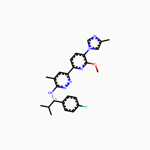 COc1nc(-c2cc(C)c(N[C@H](c3ccc(F)cc3)C(C)C)nn2)ccc1-n1cnc(C)c1